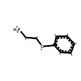 PCCOc1ccccc1